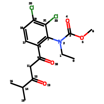 CCN(C(=O)OC)c1c(C(=O)CC(=O)C(C)C)ccc(Cl)c1Cl